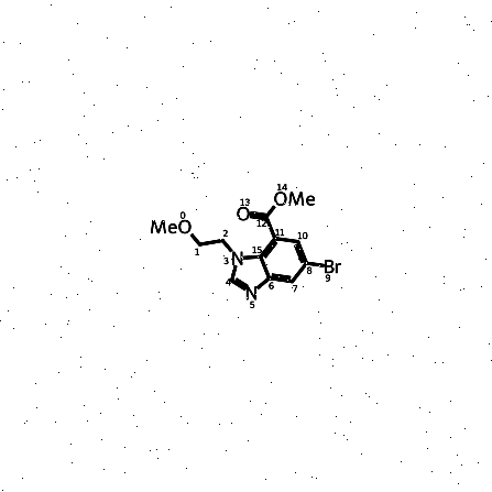 COCCn1cnc2cc(Br)cc(C(=O)OC)c21